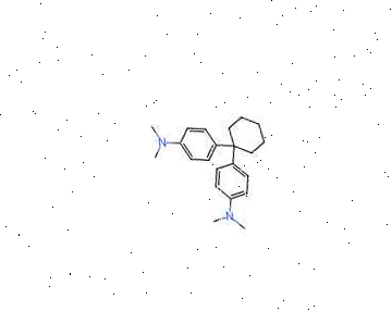 CN(C)c1ccc(C2(c3ccc(N(C)C)cc3)CCCCC2)cc1